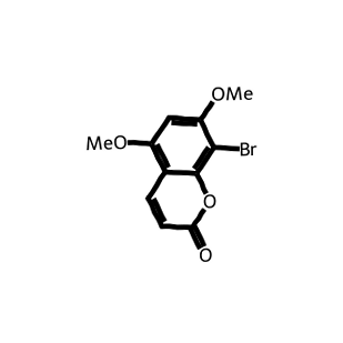 COc1cc(OC)c2ccc(=O)oc2c1Br